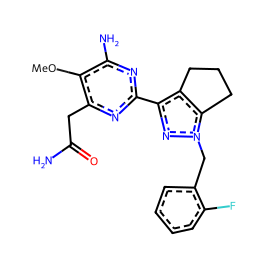 COc1c(N)nc(-c2nn(Cc3ccccc3F)c3c2CCC3)nc1CC(N)=O